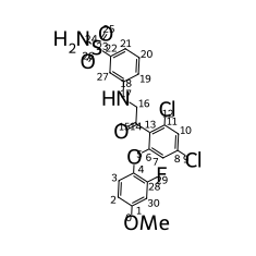 COc1ccc(Oc2cc(Cl)cc(Cl)c2C(=O)CNc2cccc(S(N)(=O)=O)c2)c(F)c1